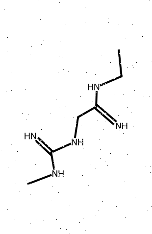 CCNC(=N)CNC(=N)NC